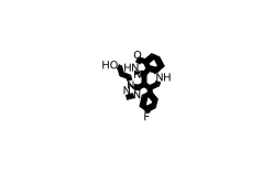 O=c1[nH]nc2c3c(cccc13)NCC(c1ccc(F)cc1)C2c1ncnn1CCCO